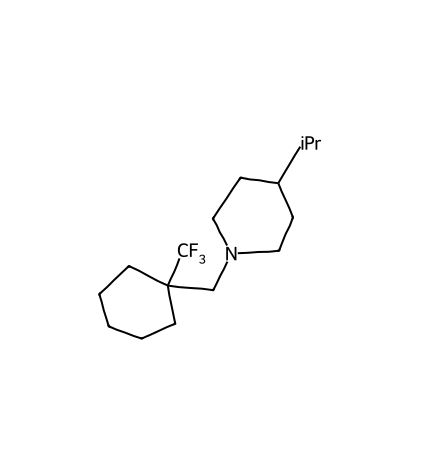 CC(C)C1CCN(CC2(C(F)(F)F)CCCCC2)CC1